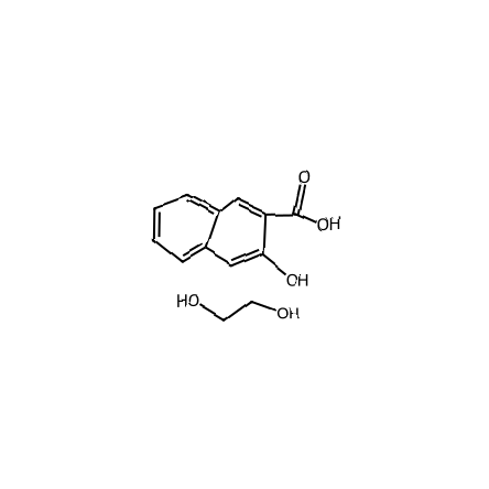 O=C(O)c1cc2ccccc2cc1O.OCCO